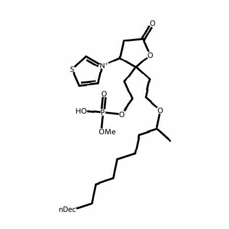 CCCCCCCCCCCCCCCCC(C)OCCC1(CCOP(=O)(O)OC)OC(=O)CC1[n+]1ccsc1